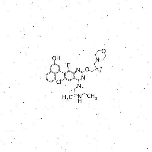 CC1CN(c2nc(OCC3(CN4CCOCC4)CC3)nc3c(F)c(-c4cc(O)cc5ccccc45)c(Cl)cc23)CC(C)N1